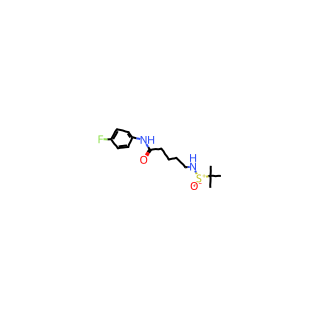 CC(C)(C)[S@+]([O-])NCCCCC(=O)Nc1ccc(F)cc1